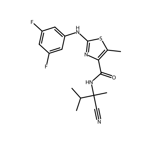 Cc1sc(Nc2cc(F)cc(F)c2)nc1C(=O)NC(C)(C#N)C(C)C